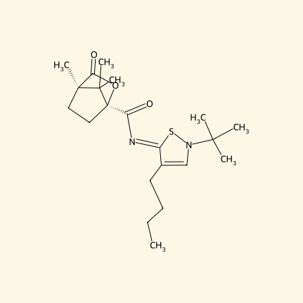 CCCCc1cn(C(C)(C)C)s/c1=N\C(=O)[C@@]12CC[C@@](C)(C(=O)O1)C2(C)C